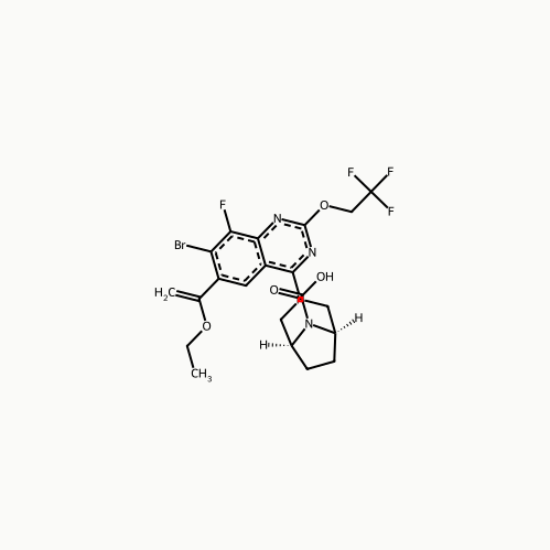 C=C(OCC)c1cc2c(N3C[C@H]4CC[C@@H](C3)N4C(=O)O)nc(OCC(F)(F)F)nc2c(F)c1Br